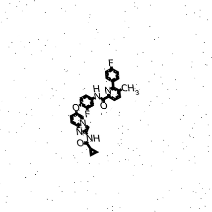 Cc1ccc(C(=O)Nc2ccc(Oc3ccc4nc(NC(=O)C5CC5)cn4c3)c(F)c2)nc1-c1ccc(F)cc1